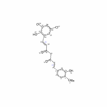 COc1ccc(/C=C/C(=O)CC(=O)/C=C/c2cc(Cl)cc(Cl)c2O)cc1O